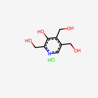 Cl.OCc1cnc(CO)c(O)c1CO